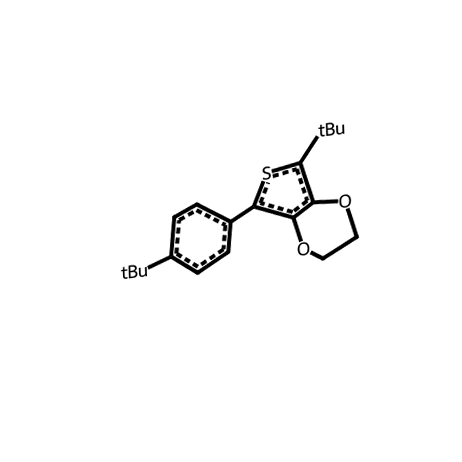 CC(C)(C)c1ccc(-c2sc(C(C)(C)C)c3c2OCCO3)cc1